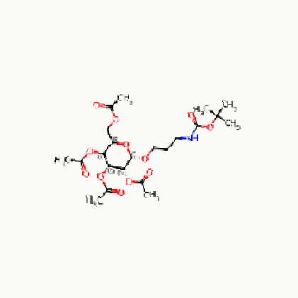 CC(=O)OC[C@H]1O[C@H](OCCCNC(=O)OC(C)(C)C)[C@H](OC(C)=O)[C@@H](OC(C)=O)[C@H]1OC(C)=O